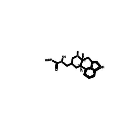 CC(=O)NC(=O)N(S)CC1C[C@@H]2c3cccc4[nH]cc(c34)C[C@H]2N(C)C1